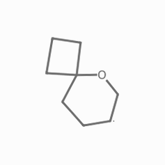 [CH]1CCC2(CCC2)OC1